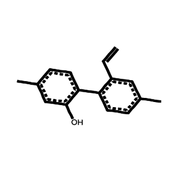 C=Cc1cc(C)ccc1-c1ccc(C)cc1O